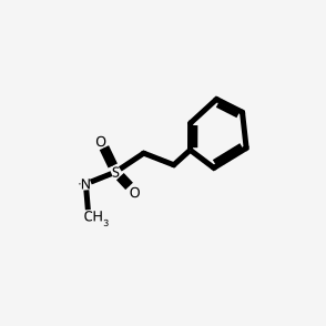 C[N]S(=O)(=O)CCc1ccccc1